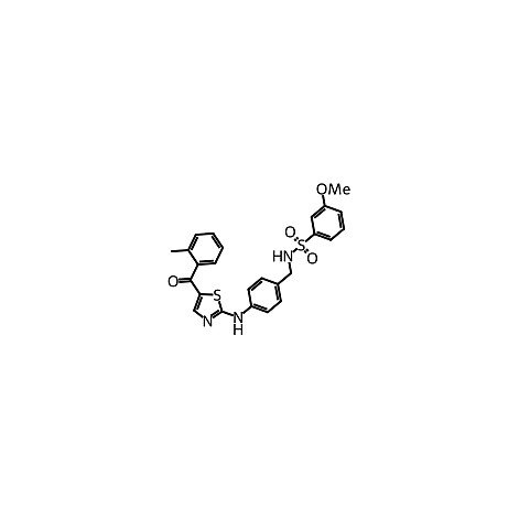 COc1cccc(S(=O)(=O)NCc2ccc(Nc3ncc(C(=O)c4ccccc4C)s3)cc2)c1